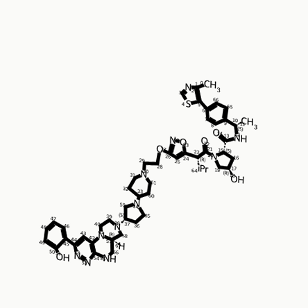 Cc1ncsc1-c1ccc([C@H](C)NC(=O)[C@@H]2C[C@@H](O)CN2C(=O)[C@@H](c2cc(OCCN3CCC(N4CC[C@H](N5CCN6c7cc(-c8ccccc8O)nnc7NC[C@@H]6C5)C4)CC3)no2)C(C)C)cc1